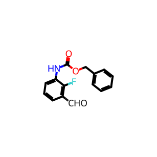 O=Cc1cccc(NC(=O)OCc2ccccc2)c1F